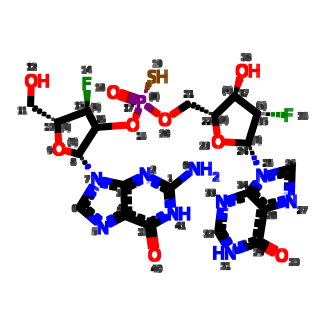 Nc1nc2c(ncn2[C@@H]2O[C@H](CO)[C@@H](F)C2O[P@](=O)(S)OC[C@H]2O[C@@H](n3cnc4c(=O)[nH]cnc43)[C@@H](F)[C@@H]2O)c(=O)[nH]1